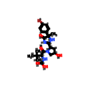 CC1(c2ccc(Br)cc2)NC(C2C[C@@H](O)CN2C(=O)C(NC(=O)O)C(C)(C)C)=NC1=O